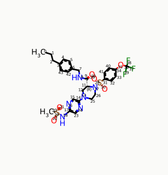 CCCc1ccc(CNC(=O)[C@H]2CN(c3cnc(NS(C)(=O)=O)cn3)CCN2S(=O)(=O)c2ccc(OC(F)(F)F)cc2)cc1